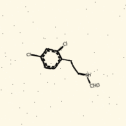 O=CNCCc1ccc(Cl)cc1Cl